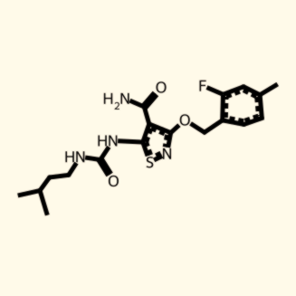 Cc1ccc(COc2nsc(NC(=O)NCCC(C)C)c2C(N)=O)c(F)c1